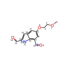 COCCOc1cc(N=O)c2[nH]c(C=O)cc2c1